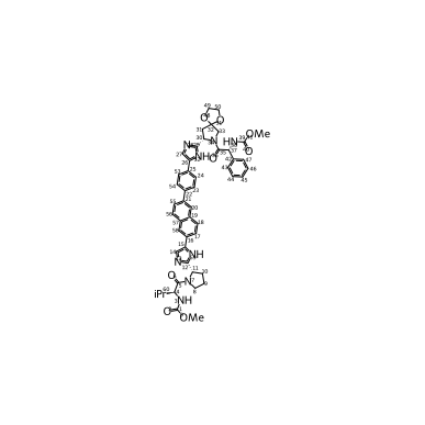 COC(=O)N[C@H](C(=O)N1CCC[C@H]1c1ncc(-c2ccc3cc(-c4ccc(-c5cnc([C@@H]6CC7(CN6C(=O)[C@H](NC(=O)OC)c6ccccc6)OCCO7)[nH]5)cc4)ccc3c2)[nH]1)C(C)C